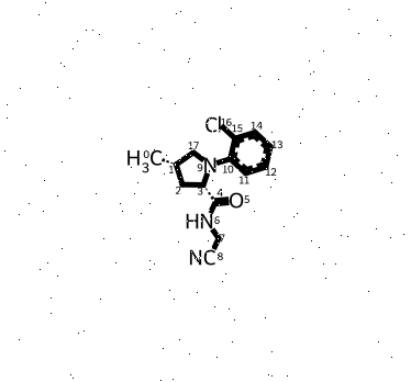 C[C@H]1C[C@@H](C(=O)NCC#N)N(c2ccccc2Cl)C1